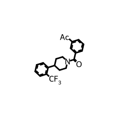 CC(=O)c1cccc(C(=O)N2CCC(c3ccccc3C(F)(F)F)CC2)c1